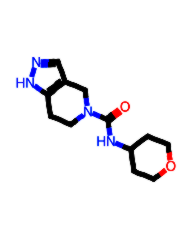 O=C(NC1CCOCC1)N1CCc2[nH]ncc2C1